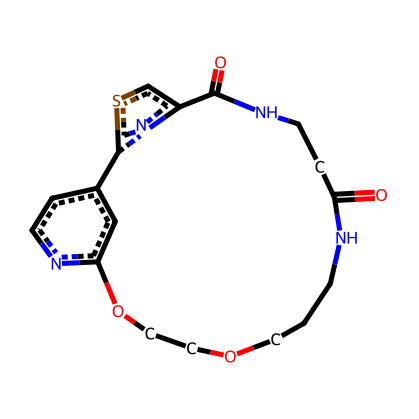 O=C1CCNC(=O)c2csc(n2)-c2ccnc(c2)OCCOCCCN1